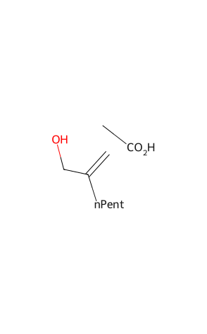 C=C(CO)CCCCC.CC(=O)O